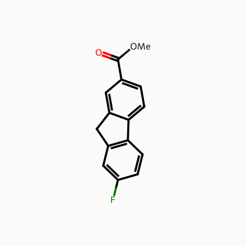 COC(=O)c1ccc2c(c1)Cc1cc(F)ccc1-2